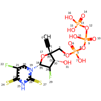 C#C[C@]1(COP(=O)(O)OP(=O)(O)OP(=O)(O)O)O[C@@H](n2cc(F)c(=S)[nH]c2=S)C(F)[C@H]1O